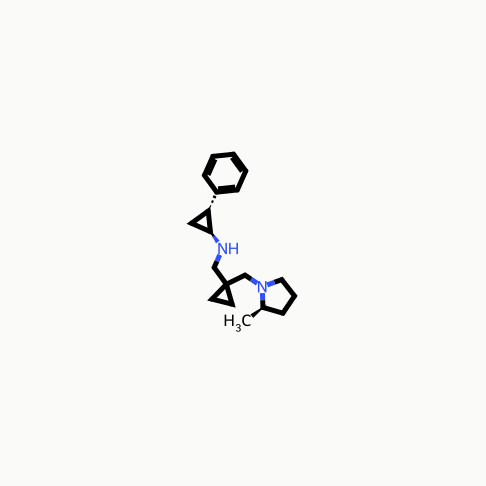 C[C@@H]1CCCN1CC1(CN[C@H]2C[C@@H]2c2ccccc2)CC1